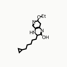 CCOC1CC2=C(C=N1)NC(CCCCCC1CC1)C(O)=N2